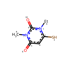 CCn1c(S)cc(=O)n(C)c1=O